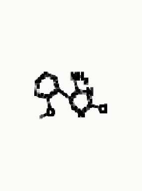 COc1ccccc1-c1cnc(Cl)nc1N